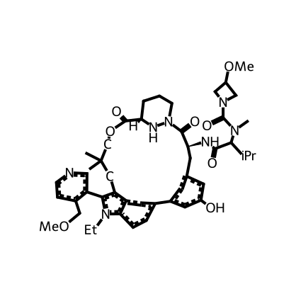 CCn1c(-c2cnccc2COC)c2c3cc(ccc31)-c1cc(O)cc(c1)C[C@H](NC(=O)C(C(C)C)N(C)C(=O)N1CC(OC)C1)C(=O)N1CCC[C@H](N1)C(=O)OCC(C)(C)C2